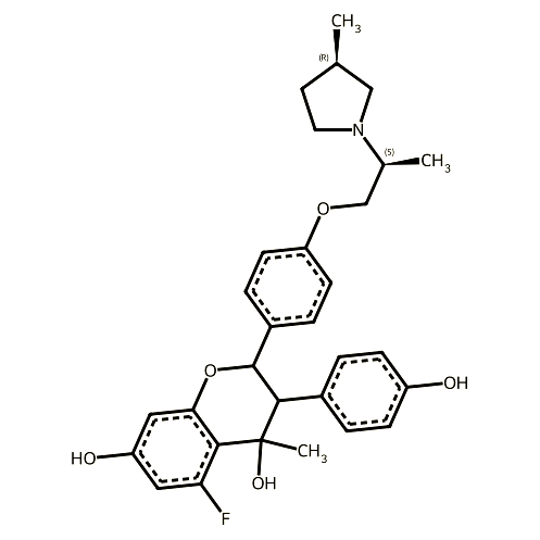 C[C@@H]1CCN([C@@H](C)COc2ccc(C3Oc4cc(O)cc(F)c4C(C)(O)C3c3ccc(O)cc3)cc2)C1